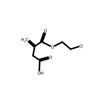 C=C(CC(=O)O)C(=O)OCCCl